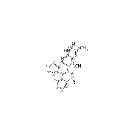 Cc1cc2c(C#N)c(-c3cc(Cl)c4ncccc4c3)c(-c3ccccc3)nc2[nH]c1=O